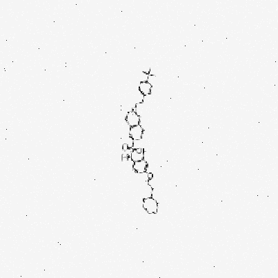 CC(C)(C)c1ccc(CCN2CCc3cc(S(=O)(=O)Nc4ccc(OCCC5CCCCC5)cc4F)ccc3C2)cc1